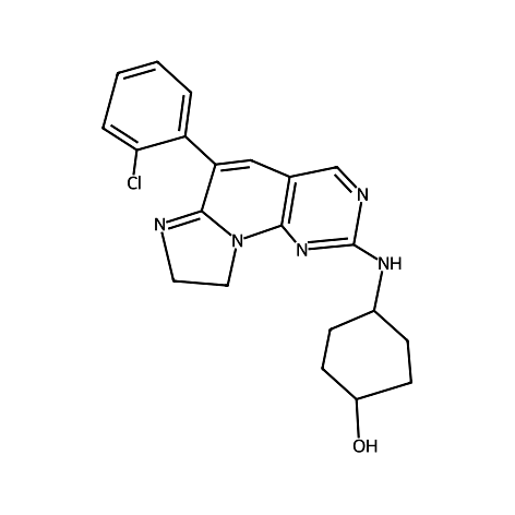 OC1CCC(Nc2ncc3c(n2)N2CCN=C2C(c2ccccc2Cl)=C3)CC1